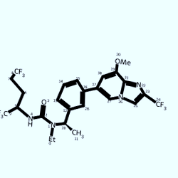 CCN(C(=O)NC(CCC(F)(F)F)C(F)(F)F)[C@H](C)c1cccc(-c2cc(OC)c3nc(C(F)(F)F)cn3c2)c1